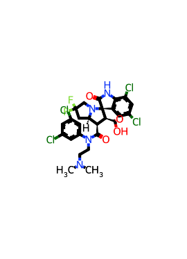 CN(C)CCN(C(=O)[C@H]1[C@H]2CC(F)(F)CN2[C@]2(C(=O)Nc3c(Cl)cc(Cl)cc32)[C@H]1C(=O)O)c1cc(Cl)cc(Cl)c1